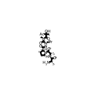 CC(=O)C(C)(O)C(=O)N(C)C(=O)N(NC(=O)[C@@H]1CCCN1C(=O)[C@H](C)NC(=O)[C@H](C)N)C(C)C